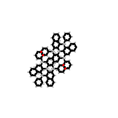 c1ccc(N2c3cc4ccccc4c4c3B3c5c(cc6ccccc6c5N4c4ccccc4)N(c4ccccc4)c4c3c2cc2c3c5c(cc42)N(c2ccccc2)c2cc4ccccc4c4c2B5c2c(cc5ccccc5c2N4c2ccccc2)N3c2ccccc2)cc1